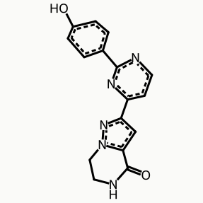 O=C1NCCn2nc(-c3ccnc(-c4ccc(O)cc4)n3)cc21